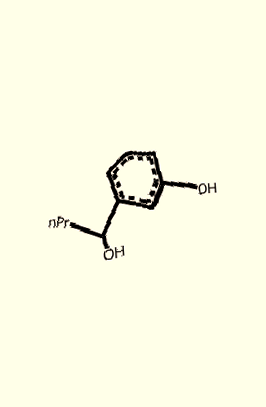 CCCC(O)c1cccc(O)c1